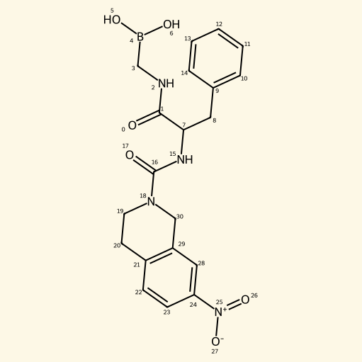 O=C(NCB(O)O)C(Cc1ccccc1)NC(=O)N1CCc2ccc([N+](=O)[O-])cc2C1